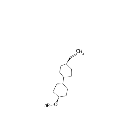 CC=C[C@H]1CC[C@H]([C@H]2CC[C@H](OCCC)CC2)CC1